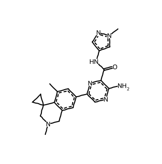 Cc1cc(-c2cnc(N)c(C(=O)Nc3cnn(C)c3)n2)cc2c1C1(CC1)CN(C)C2